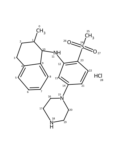 CC1CCc2ccccc2C1Nc1cc(N2CCNCC2)ccc1S(C)(=O)=O.Cl